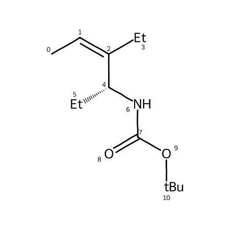 CC=C(CC)[C@@H](CC)NC(=O)OC(C)(C)C